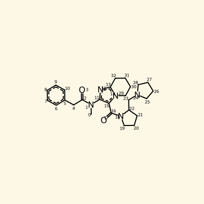 CN(C(=O)Cc1ccccc1)c1nc2n(c1C(=O)N1CCCC1CN1CCCC1)CCCC2